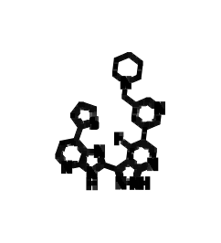 Fc1c(-c2cncc(CN3CCCCC3)c2)cnc2[nH]nc(-c3nc4c(-c5cccs5)ccnc4[nH]3)c12